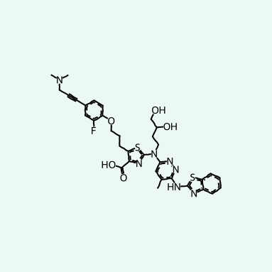 Cc1cc(N(CCC(O)CO)c2nc(C(=O)O)c(CCCOc3ccc(C#CCN(C)C)cc3F)s2)nnc1Nc1nc2ccccc2s1